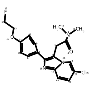 CN(C)C(=O)Cc1c(-c2ccc(OCCF)cc2)nc2ccc(Cl)cn12